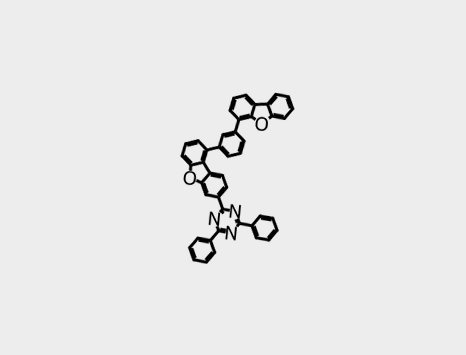 c1ccc(-c2nc(-c3ccccc3)nc(-c3ccc4c(c3)oc3cccc(-c5cccc(-c6cccc7c6oc6ccccc67)c5)c34)n2)cc1